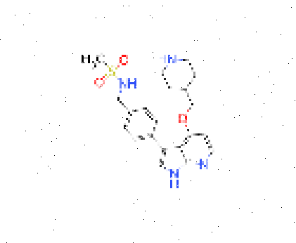 CS(=O)(=O)NCc1ccc(-c2c[nH]c3nccc(OCC4CCNCC4)c23)cc1